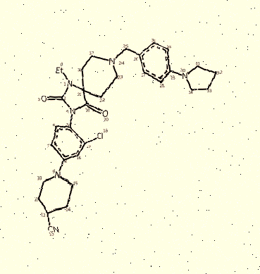 CCN1C(=O)N(c2ccc(N3CCC(C#N)CC3)cc2Cl)C(=O)C12CCN(Cc1ccc(N3CCCC3)cc1)CC2